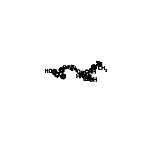 Cc1ncsc1-c1ccc(CNC(=O)[C@@H]2C[C@@H](O)CN2C(=O)[C@@H](NC(=O)COCCN2CCN(CCOc3ccc([C@@H]4c5ccc(O)cc5CC[C@@H]4c4ccccc4)cc3)CC2)C(C)(C)C)cc1